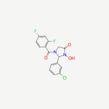 O=C1CN(C(=O)c2ccc(F)cc2F)C(c2cccc(Cl)c2)N1O